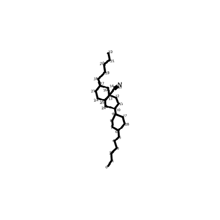 CCCCCCC1CCC(C2CCC3(C#N)CC(CCCCC)CCC3C2)CC1